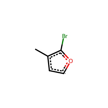 Cc1c[c]oc1Br